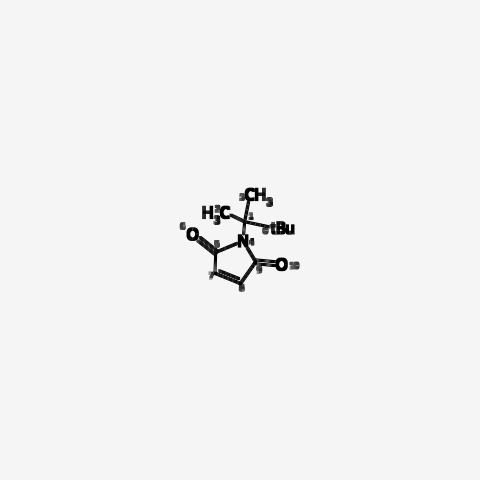 CC(C)(C)C(C)(C)N1C(=O)C=CC1=O